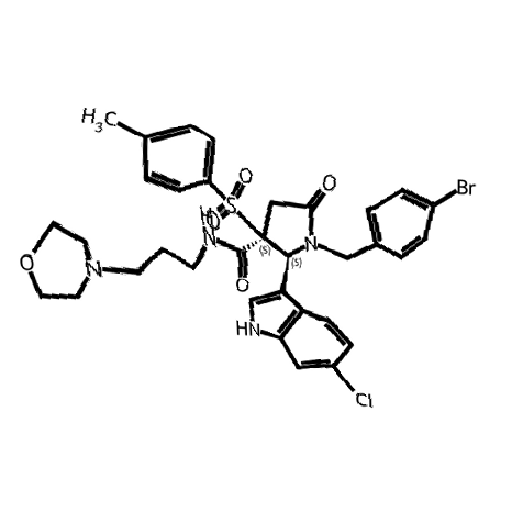 Cc1ccc(S(=O)(=O)[C@@]2(C(=O)NCCCN3CCOCC3)CC(=O)N(Cc3ccc(Br)cc3)[C@H]2c2c[nH]c3cc(Cl)ccc23)cc1